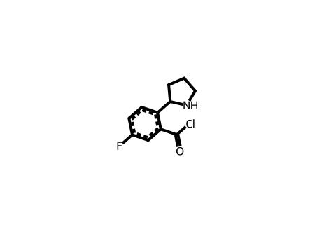 O=C(Cl)c1cc(F)ccc1C1CCCN1